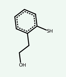 OCCc1ccccc1S